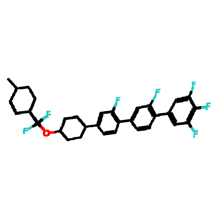 CC1CCC(C(F)(F)OC2CCC(c3ccc(-c4ccc(-c5cc(F)c(F)c(F)c5)c(F)c4)c(F)c3)CC2)CC1